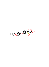 COc1ccc(COc2ccc(/C=C3\SC(=O)N(CC(=O)O)C3=O)cc2)cc1